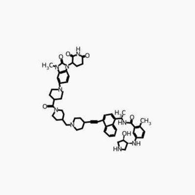 Cc1ccc(N[C@H]2CNC[C@H]2O)cc1C(=O)N[C@H](C)c1ccc(C#CC2CCN(CC3CCN(C(=O)C4CCN(c5ccc6c(c5)n(C)c(=O)n6C5CCC(=O)NC5=O)CC4)CC3)CC2)c2ccccc12